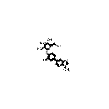 Cn1cnc2cc(-c3ccc(O[C@H]4OC(CO)[C@@H](O)[C@H](O)C4O)c(Cl)c3)cnc21